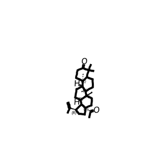 C=C(C)[C@@H]1CC[C@]2(C(C)=O)CC[C@]3(C)[C@H](CC[C@@H]4[C@@]5(C)CCC(=O)C(C)(C)C5CC[C@]43C)C12